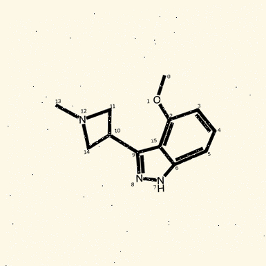 COc1cccc2[nH]nc(C3CN(C)C3)c12